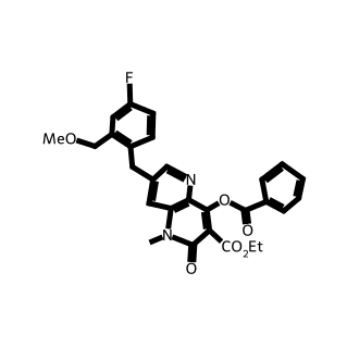 CCOC(=O)c1c(OC(=O)c2ccccc2)c2ncc(Cc3ccc(F)cc3COC)cc2n(C)c1=O